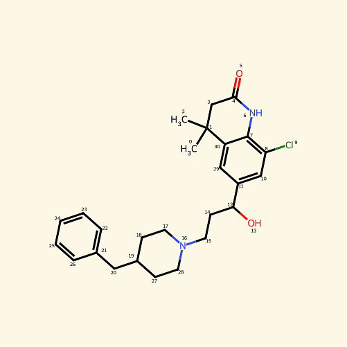 CC1(C)CC(=O)Nc2c(Cl)cc(C(O)CCN3CCC(Cc4ccccc4)CC3)cc21